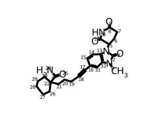 Cn1c(=O)n(C2CCC(=O)NC2=O)c2ccc(C#CCCCC3(C(N)=O)CCCCC3)cc21